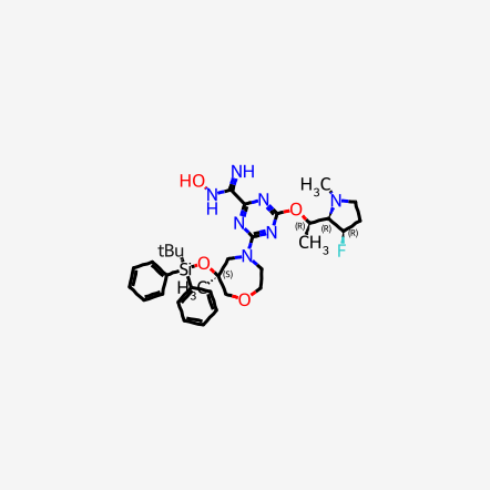 C[C@@H](Oc1nc(C(=N)NO)nc(N2CCOC[C@@](C)(O[Si](c3ccccc3)(c3ccccc3)C(C)(C)C)C2)n1)[C@@H]1[C@H](F)CCN1C